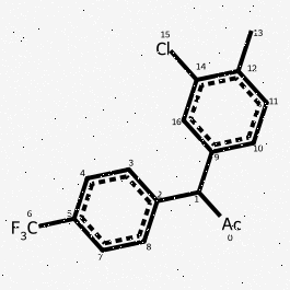 CC(=O)C(c1ccc(C(F)(F)F)cc1)c1ccc(C)c(Cl)c1